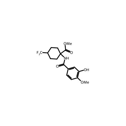 COC(=O)C1(NC(=O)c2ccc(OC)c(O)c2)CCC(C(F)(F)F)CC1